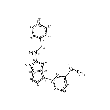 COc1cncc(-c2cnc3sc(NCc4ccncc4)nn23)c1